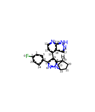 Fc1ccc(-c2nn3c(c2-c2ccnc4[nH]ncc24)[C@@H]2CCC3C2)cc1